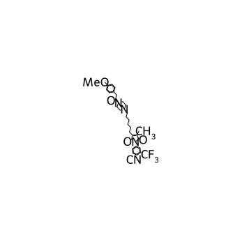 COc1ccc(CC(=O)N2CCN(CCCCCCC3=C(C)C(=O)N(c4ccc(C#N)c(C(F)(F)F)c4)C3=O)CC2)cc1